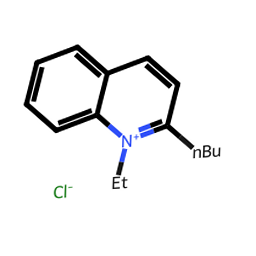 CCCCc1ccc2ccccc2[n+]1CC.[Cl-]